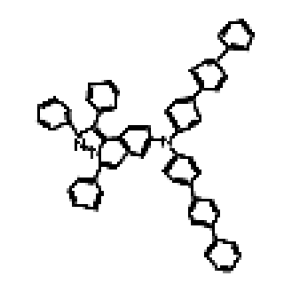 c1ccc(-c2ccc(-c3ccc(N(c4ccc(-c5ccc(-c6ccccc6)cc5)cc4)c4ccc5c(c4)cc(-c4ccccc4)n4nc(-c6ccccc6)c(-c6ccccc6)c54)cc3)cc2)cc1